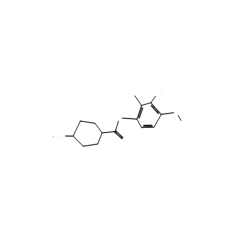 CCCCCC1CCC(C(=O)Oc2ccc(OCC)c(C#N)c2C#N)CC1